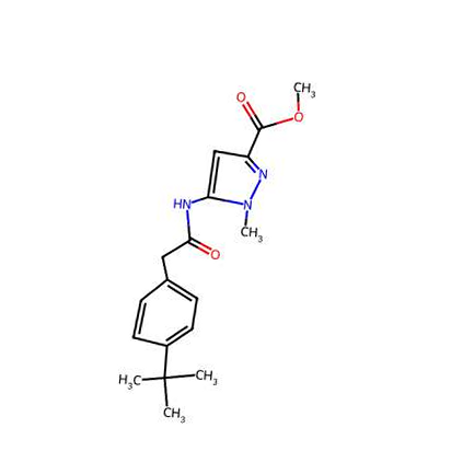 COC(=O)c1cc(NC(=O)Cc2ccc(C(C)(C)C)cc2)n(C)n1